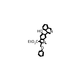 CCOC(=O)c1c(COc2ccccc2)n(C)c2cc(-c3cncc4ccccc34)c(O)cc12